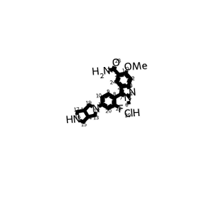 COc1cc2nn(C)c(-c3ccc(N4CC5CNCC5C4)cc3F)c2cc1C(N)=O.Cl